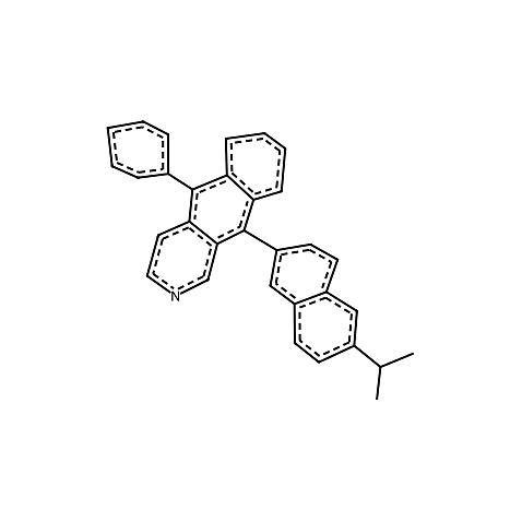 CC(C)c1ccc2cc(-c3c4ccccc4c(-c4ccccc4)c4ccncc34)ccc2c1